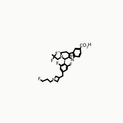 C[C@@H]1Cc2c([nH]c3ccc(C(=O)O)cc23)[C@@H](c2c(F)cc(CC3CN(CCCF)C3)cc2F)N1CC(C)(F)F